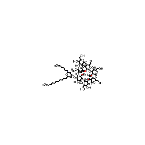 CCCCCCCCCCCCC/C=C/[C@@H](O)[C@H](CO[C@@H]1OC(CO)[C@@H](O[C@@H]2OC(CO)[C@H](O)[C@H](O[C@@H]3OC(CO)[C@@H](O[C@@H]4OC(CO)[C@H](O)[C@H](O[C@@H]5OC(CO)[C@@H](O[C@@H]6OC(CO)[C@H](O)[C@H](O)C6O)[C@H](O[C@H]6OC(C)[C@@H](O)C(O)[C@@H]6O)C5NC(C)=O)C4O)[C@H](O)C3NC(C)=O)C2O)[C@H](O)C1O)NC(=O)CCCCCCCCCCCCCCCCCCC